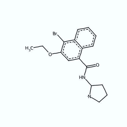 CCOc1cc(C(=O)NC2CCC[N]2)c2ccccc2c1Br